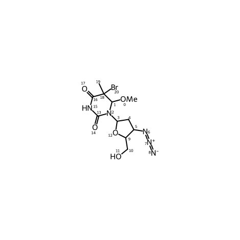 COC1N(C2CC(N=[N+]=[N-])C(CO)O2)C(=O)NC(=O)C1(C)Br